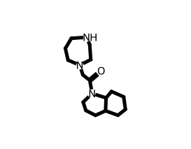 O=C(CN1CCCNCC1)N1CCCC2CCCCC21